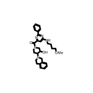 COCCCCNc1cc(C(=O)N2CCC(N3CCc4ccccc4C3)C(O)C2)nc(-c2ccccc2)n1